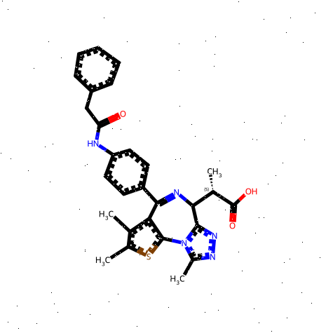 Cc1sc2c(c1C)C(c1ccc(NC(=O)Cc3ccccc3)cc1)=NC([C@H](C)C(=O)O)c1nnc(C)n1-2